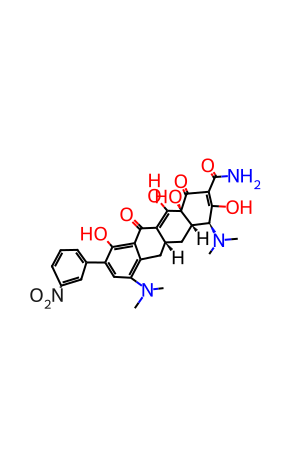 CN(C)c1cc(-c2cccc([N+](=O)[O-])c2)c(O)c2c1C[C@H]1C[C@H]3[C@H](N(C)C)C(O)=C(C(N)=O)C(=O)[C@@]3(O)C(O)=C1C2=O